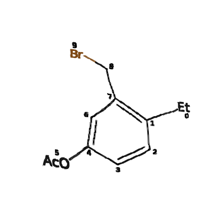 CCc1ccc(OC(C)=O)cc1CBr